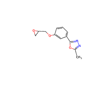 Cc1nnc(-c2cccc(OCC3CO3)c2)o1